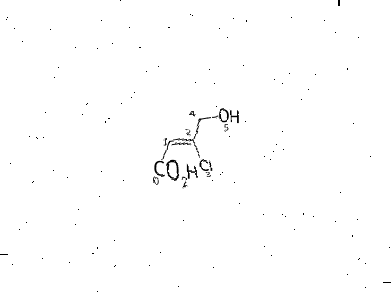 O=C(O)C=C(Cl)CO